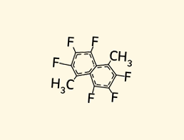 Cc1c(F)c(F)c(F)c2c(C)c(F)c(F)c(F)c12